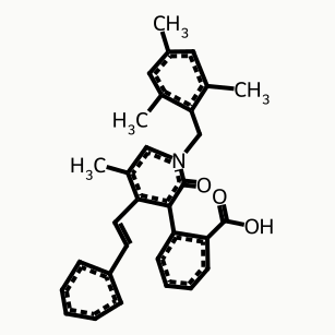 Cc1cc(C)c(Cn2cc(C)c(/C=C/c3ccccc3)c(-c3ccccc3C(=O)O)c2=O)c(C)c1